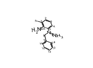 Cc1cccc(N(N)Cc2ccccc2)c1N